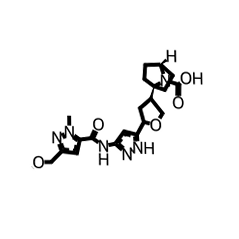 COCc1cc(C(=O)Nc2cc(C3CC([C@]45CC[C@H](CC4)N5C(=O)O)CO3)[nH]n2)n(C)n1